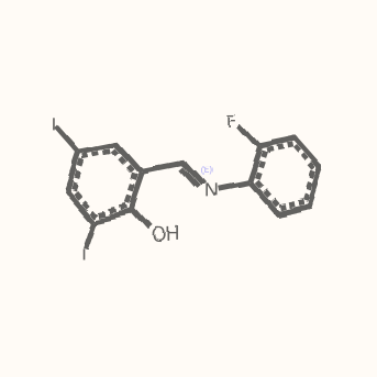 Oc1c(I)cc(I)cc1/C=N/c1ccccc1F